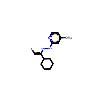 CC/C=C(\NNc1cc(OC)ccn1)C1CCCCC1